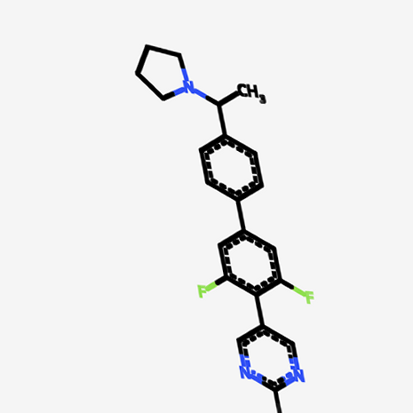 COc1ncc(-c2c(F)cc(-c3ccc(C(C)N4CCCC4)cc3)cc2F)cn1